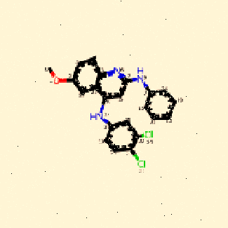 COc1ccc2nc(Nc3ccccc3)cc(Nc3ccc(Cl)c(Cl)c3)c2c1